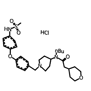 CCCCN(C(=O)CC1CCOCC1)C1CCN(Cc2ccc(Oc3ccc(NS(C)(=O)=O)cc3)cc2)CC1.Cl